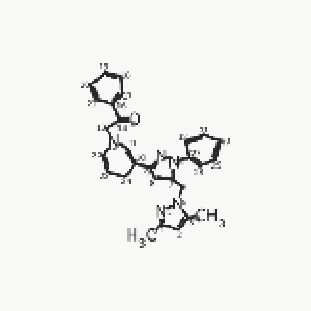 Cc1cc(C)n(Cc2cc(C3=CN(CC(=O)c4ccccc4)C=CC3)nn2-c2ccccc2)n1